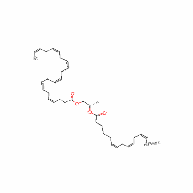 CC/C=C\C/C=C\C/C=C\C/C=C\C/C=C\C/C=C\CCC(=O)OC[C@H](C)OC(=O)CCCC/C=C\C/C=C\C/C=C\CCCCC